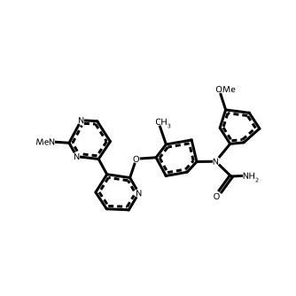 CNc1nccc(-c2cccnc2Oc2ccc(N(C(N)=O)c3cccc(OC)c3)cc2C)n1